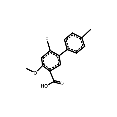 COc1cc(F)c(-c2ccc(C)cc2)cc1C(=O)O